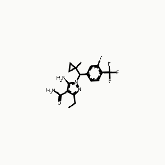 CCc1nn(C(c2ccc(C(F)(F)F)c(F)c2)C2(C)CC2)c(N)c1C(N)=O